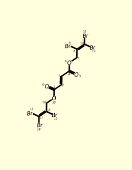 O=C(C=CC(=O)OCC(Br)=C(Br)Br)OCC(Br)=C(Br)Br